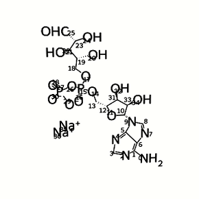 Nc1ncnc2c1ncn2[C@@H]1O[C@H](COP(=O)(OC[C@@H](O)[C@@H](O)[C@@H](O)C=O)OP(=O)([O-])[O-])[C@@H](O)[C@H]1O.[Na+].[Na+]